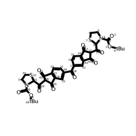 CC(C)(C)OC(=O)N1CCSC1C(=O)C1C(=O)c2ccc(C(=O)c3ccc4c(c3)C(=O)C(C(=O)C3SCCN3C(=O)OC(C)(C)C)C4=O)cc2C1=O